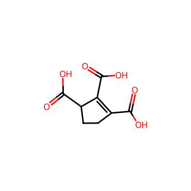 O=C(O)C1=C(C(=O)O)C(C(=O)O)CC1